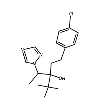 CC(n1cncn1)C(O)(CCc1ccc(Cl)cc1)C(C)(C)C